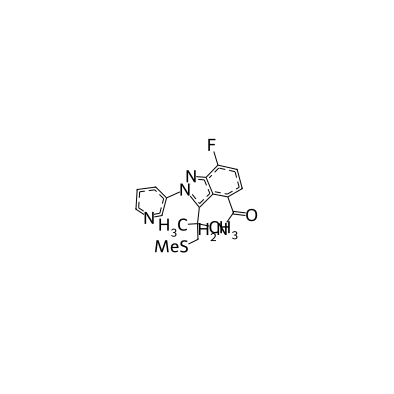 CSCC(C)(C)c1c2c(C(N)=O)ccc(F)c2nn1-c1cccnc1